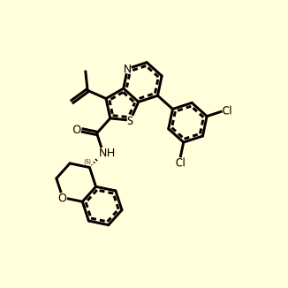 C=C(C)c1c(C(=O)N[C@H]2CCOc3ccccc32)sc2c(-c3cc(Cl)cc(Cl)c3)ccnc12